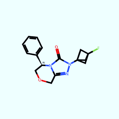 O=c1n(C23CC(F)(C2)C3)nc2n1[C@H](c1ccccc1)COC2